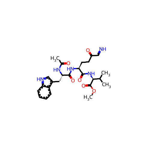 COC(=O)[C@@H](NC(=O)[C@H](CCC(=O)C=N)NC(=O)[C@H](Cc1c[nH]c2ccccc12)NC(C)=O)C(C)C